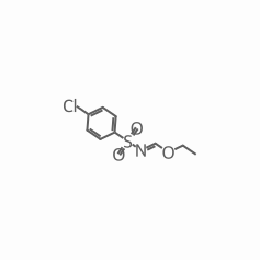 CCOC=NS(=O)(=O)c1ccc(Cl)cc1